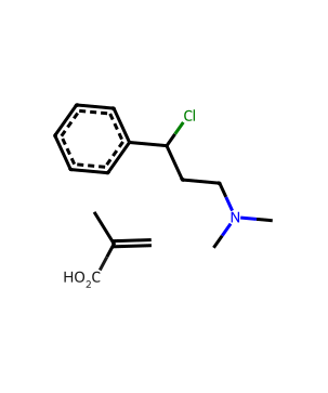 C=C(C)C(=O)O.CN(C)CCC(Cl)c1ccccc1